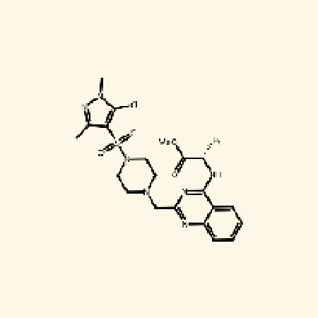 COC(=O)[C@@H](Nc1nc(CN2CCN(S(=O)(=O)c3c(C)nn(C)c3Cl)CC2)nc2ccccc12)C(C)C